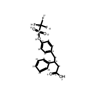 O=C(O)CC(Cc1ccc(OS(=O)(=O)C(F)(F)F)cc1)c1ccccc1